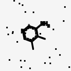 Cc1cn[c]c(N)c1C